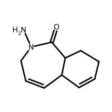 NN1CC=CC2C=CCCC2C1=O